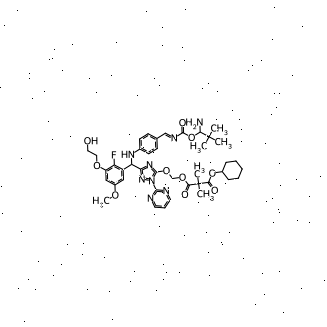 COc1cc(OCCO)c(F)c(C(Nc2ccc(C=NC(=O)OC(N)C(C)(C)C)cc2)c2nc(OCOC(=O)C(C)(C)C(=O)OC3CCCCC3)n(-c3ncccn3)n2)c1